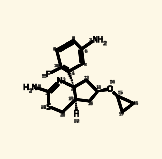 NC1=N[C@@]2(c3cc(N)ccc3F)C[C@@H](OC3CC3)C[C@H]2CS1